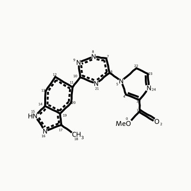 COC(=O)C1=CN(c2cnnc(-c3ccc4[nH]nc(C)c4c3)n2)CC=N1